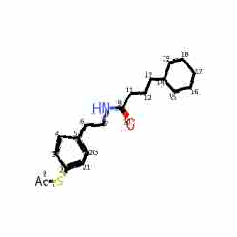 CC(=O)Sc1ccc(CCNC(=O)CCCC2CCCCC2)cc1